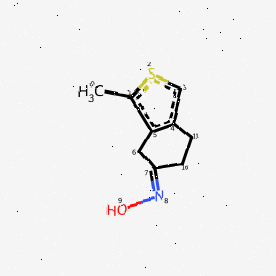 Cc1scc2c1CC(=NO)CC2